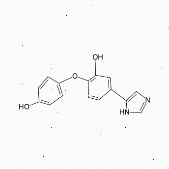 Oc1ccc(Oc2ccc(-c3cnc[nH]3)cc2O)cc1